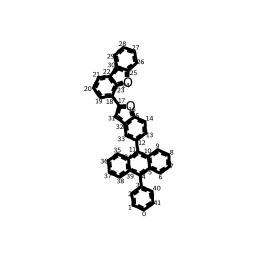 c1ccc(-c2c3ccccc3c(-c3ccc4oc(-c5cccc6c5oc5ccccc56)cc4c3)c3ccccc23)cc1